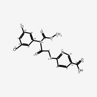 COC(=O)N(C(=O)CSc1ccc(C(=O)O)cn1)c1cc(Cl)cc(Cl)c1